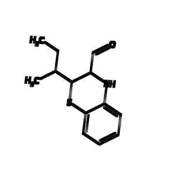 CCC(C)C1Sc2ccccc2NC1C=O